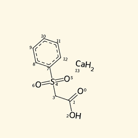 O=C(O)CS(=O)(=O)c1ccccc1.[CaH2]